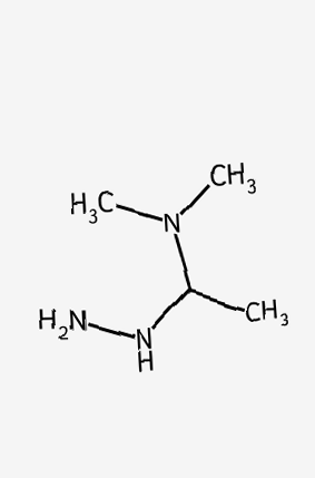 CC(NN)N(C)C